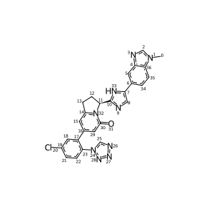 Cn1cnc2cc(-c3cnc([C@@H]4CCc5cc(-c6cc(Cl)ccc6-n6cnnn6)cc(=O)n54)[nH]3)ccc21